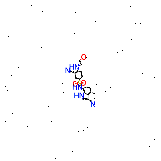 COCCNc1ccc(S(=O)(=O)Nc2ccc(C)c3c(C#N)c[nH]c23)cc1C#N